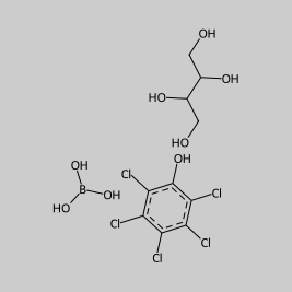 OB(O)O.OCC(O)C(O)CO.Oc1c(Cl)c(Cl)c(Cl)c(Cl)c1Cl